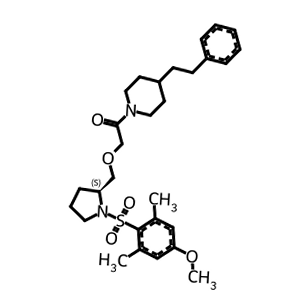 COc1cc(C)c(S(=O)(=O)N2CCC[C@H]2COCC(=O)N2CCC(CCc3ccccc3)CC2)c(C)c1